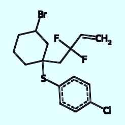 C=CC(F)(F)CC1(Sc2ccc(Cl)cc2)CCCC(Br)C1